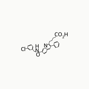 O=C(O)CCCCc1nc2cc(C(=O)NCc3cccc(Cl)c3)ccc2cc1-c1ccccc1